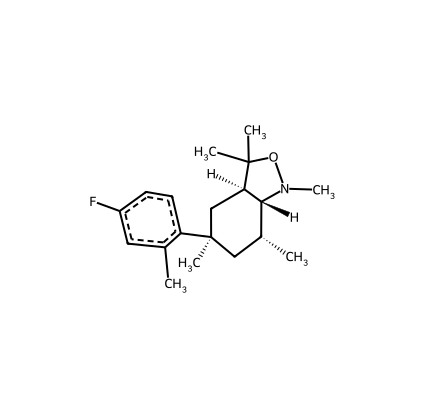 Cc1cc(F)ccc1[C@]1(C)C[C@@H](C)[C@@H]2[C@@H](C1)C(C)(C)ON2C